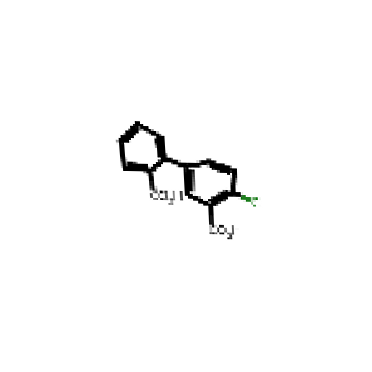 O=C(O)c1cc(-c2ccccc2C(=O)O)ccc1Cl